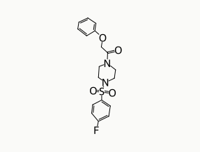 O=C(COc1ccccc1)N1CCN(S(=O)(=O)c2ccc(F)cc2)CC1